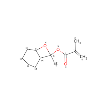 C=C(C)C(=O)OC1(CC)OC2CCCCC21